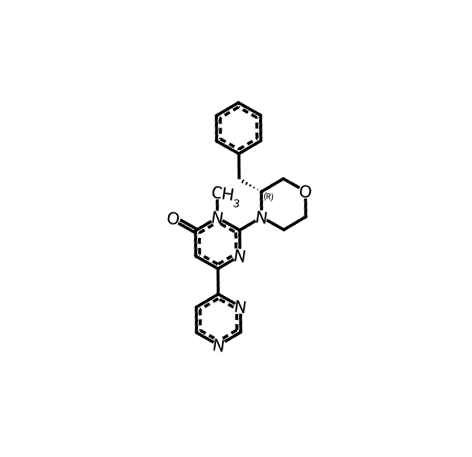 Cn1c(N2CCOC[C@H]2Cc2ccccc2)nc(-c2ccncn2)cc1=O